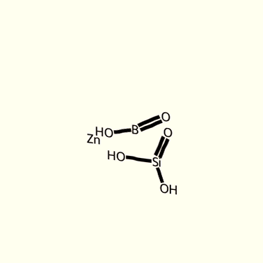 O=BO.O=[Si](O)O.[Zn]